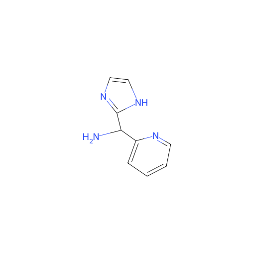 NC(c1ccccn1)c1ncc[nH]1